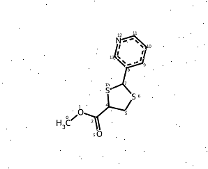 COC(=O)C1CSC(c2cccnc2)S1